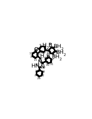 Bc1c(B)c(B)c(-c2ccc3oc4cccc(/C=N/C(=N\C(=N)c5ccccc5)c5ccccc5)c4c3c2)c(B)c1B